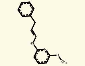 COc1cccc(N/N=C/Cc2ccccc2)n1